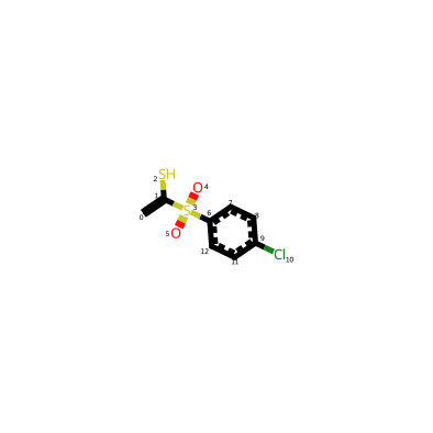 C=C(S)S(=O)(=O)c1ccc(Cl)cc1